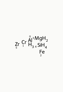 [AlH3].[Cr].[Fe].[MgH2].[SiH4].[Zr]